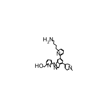 CN1CC=C(c2cc(-c3cccc(CCCCN)n3)cc3c2cnn3-c2cccc(CO)n2)CC1